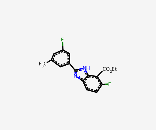 CCOC(=O)c1c(F)ccc2nc(-c3cc(F)cc(C(F)(F)F)c3)[nH]c12